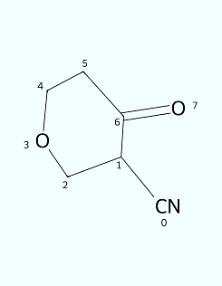 N#CC1COCCC1=O